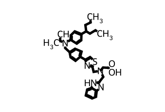 CCCC(CCC)c1ccc(N(Cc2ccc(-c3csc(CN(CC(=O)O)Cc4nc5ccccc5[nH]4)n3)cc2)C(C)C)cc1